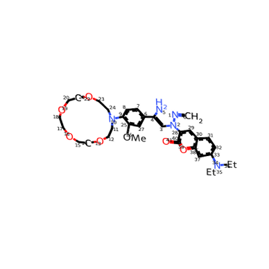 C=NN(/C=C(\N)c1ccc(N2CCOCCOCCOCCOCC2)c(OC)c1)c1cc2ccc(N(CC)CC)cc2oc1=O